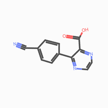 N#Cc1ccc(-c2nccnc2C(=O)O)cc1